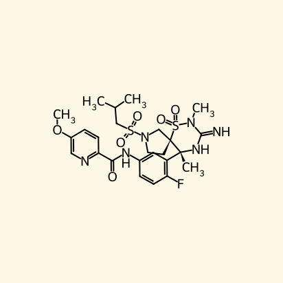 COc1ccc(C(=O)Nc2ccc(F)c([C@@]3(C)NC(=N)N(C)S(=O)(=O)[C@]34CCN(S(=O)(=O)CC(C)C)C4)c2)nc1